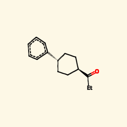 CCC(=O)[C@H]1CC[C@H](c2ccccc2)CC1